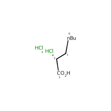 CCCCCCC(=O)O.Cl.Cl